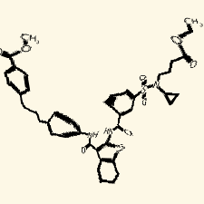 CCOC(=O)CCCN(C1CC1)S(=O)(=O)c1cccc(C(=O)Nc2sc3c(c2C(=O)Nc2ccc(CCCc4ccc(C(=O)OC)cc4)cc2)CCCC3)c1